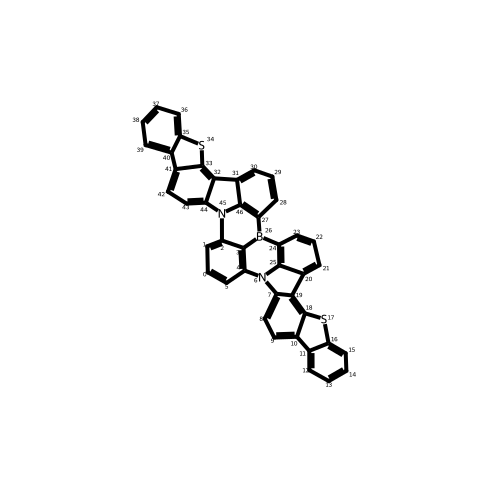 c1cc2c3c(c1)-n1c4ccc5c6ccccc6sc5c4c4cccc(c41)B3c1cccc3c4c5sc6ccccc6c5ccc4n-2c13